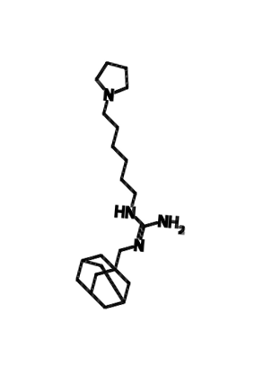 NC(=NCC12CC3CC(CC(C3)C1)C2)NCCCCCCN1CCCC1